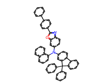 c1ccc(-c2ccc(-c3nc4ccc(N(c5ccc6c(c5)C(c5ccccc5)(c5ccccc5)c5ccccc5-6)c5cccc6ccccc56)cc4o3)cc2)cc1